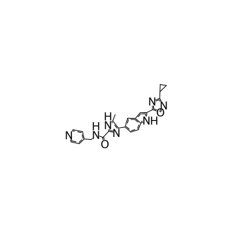 Cc1[nH]c(C(=O)NCc2ccncc2)nc1-c1ccc2[nH]c(-c3nc(C4CC4)no3)cc2c1